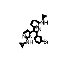 Brc1cccc(-c2nn3c(NC4CC4)cccc3c2-c2ccnc(NC3CC3)n2)c1